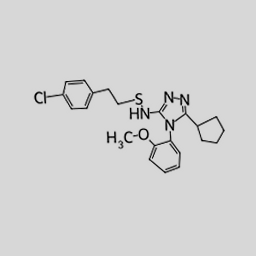 COc1ccccc1-n1c(NSCCc2ccc(Cl)cc2)nnc1C1CCCC1